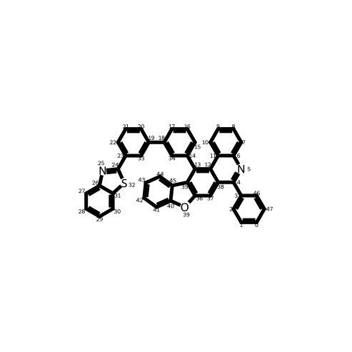 c1ccc(-c2nc3ccccc3c3c(-c4cccc(-c5cccc(-c6nc7ccccc7s6)c5)c4)c4c(cc23)oc2ccccc24)cc1